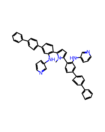 Cn1c(-c2ccc(-c3ccc(-c4ccccc4)cc3)cc2Nc2cccnc2)ccc1-c1ccc(-c2ccc(-c3ccccc3)cc2)cc1Nc1cccnc1